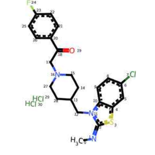 CN=c1sc2cc(Cl)ccc2n1CC1CCN(CC(=O)c2ccc(F)cc2)CC1.Cl.Cl